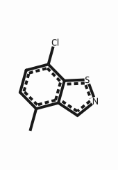 Cc1ccc(Cl)c2sncc12